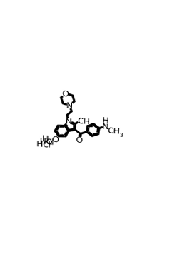 CNc1ccc(C(=O)c2c(C)n(CCN3CCOCC3)c3ccccc23)cc1.Cl.Cl.O